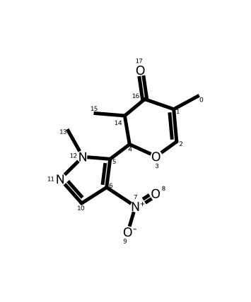 CC1=COC(c2c([N+](=O)[O-])cnn2C)C(C)C1=O